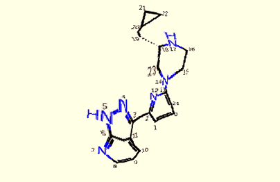 c1cc(-c2n[nH]c3ncccc23)nc(N2CCN[C@@H](CC3CC3)C2)c1